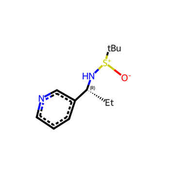 CC[C@@H](N[S+]([O-])C(C)(C)C)c1cccnc1